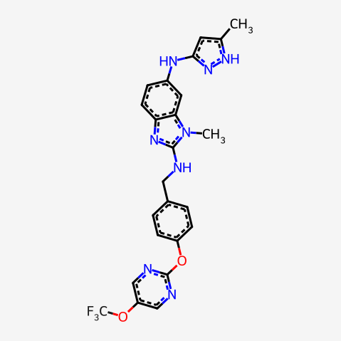 Cc1cc(Nc2ccc3nc(NCc4ccc(Oc5ncc(OC(F)(F)F)cn5)cc4)n(C)c3c2)n[nH]1